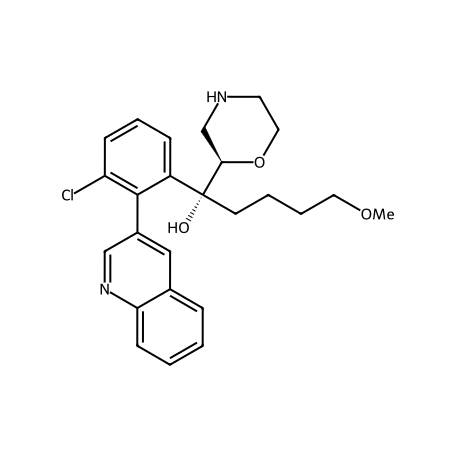 COCCCC[C@@](O)(c1cccc(Cl)c1-c1cnc2ccccc2c1)[C@H]1CNCCO1